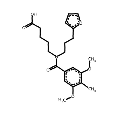 COc1cc(C(=O)N(CCCCC(=O)O)CCCc2ccco2)cc(OC)c1C